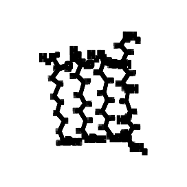 CCCCCCCCCCCCCCCCCC(N)=O.CCCCCCCCCCCCCCCCCC(N)=O.CCCCCCCCCCCCCCCCCC(N)=O.NCCNCCNCCNCCN